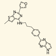 Cc1cc2c(NCCCc3ccc(-c4cnc5[nH]ccc5n4)cc3)nc(-c3ccoc3)nc2s1